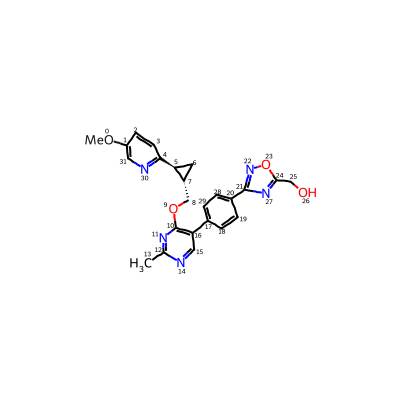 COc1ccc([C@H]2C[C@@H]2COc2nc(C)ncc2-c2ccc(-c3noc(CO)n3)cc2)nc1